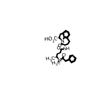 C[C@@H](CCC(=O)N[C@H]1CCc2cccc3c2N(C1=O)[C@H](C(=O)O)C3)N(C)C(=O)Cc1ccccc1